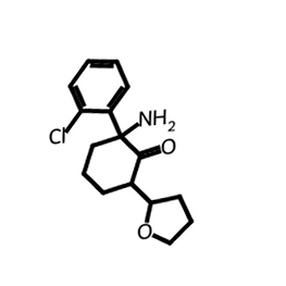 NC1(c2ccccc2Cl)CCCC(C2CCCO2)C1=O